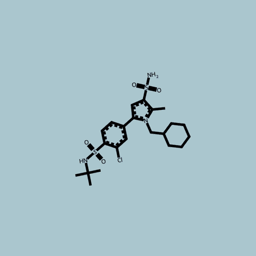 Cc1c(S(N)(=O)=O)cc(-c2ccc(S(=O)(=O)NC(C)(C)C)c(Cl)c2)n1CC1CCCCC1